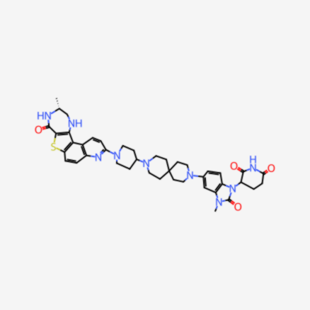 C[C@@H]1CNc2c(sc3ccc4nc(N5CCC(N6CCC7(CCN(c8ccc9c(c8)n(C)c(=O)n9C8CCC(=O)NC8=O)CC7)CC6)CC5)ccc4c23)C(=O)N1